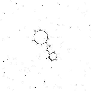 c1ccc(CPC2CCCCCCCCC2)cc1